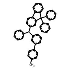 Cc1ccc(-c2cccc(N(c3ccccc3)c3ccc4c(c3)C(c3ccccc3)(c3ccccc3)c3ccccc3-4)c2)cc1